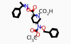 C/C(=N/OC(=O)[C@@H]1CC[C@@H](N(OCc2ccccc2)C(=O)OC(Cl)(Cl)Cl)CN1C(=O)O)c1ccccc1